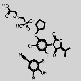 CC(C)=C1OC(=O)N(c2cc(OC3CCCC3)c(Cl)cc2F)C1=O.N#Cc1cc(Br)c(O)c(Br)c1.O=C(O)CNCP(=O)(O)O